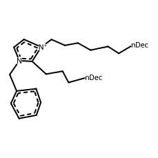 CCCCCCCCCCCCCCCC[n+]1ccn(Cc2ccccc2)c1CCCCCCCCCCCCC